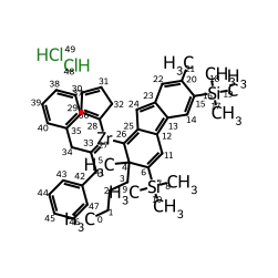 CCCCC1(C)C([Si](C)(C)C)=CC2=c3cc([Si](C)(C)C)c(C)cc3=CC2=[C]1[Zr]([C]1=CC=CC1)=[C](Cc1ccccc1)Cc1ccccc1.Cl.Cl